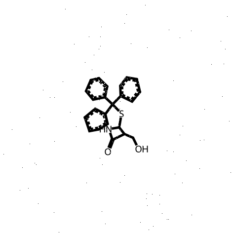 O=C1NC(SC(c2ccccc2)(c2ccccc2)c2ccccc2)C1CO